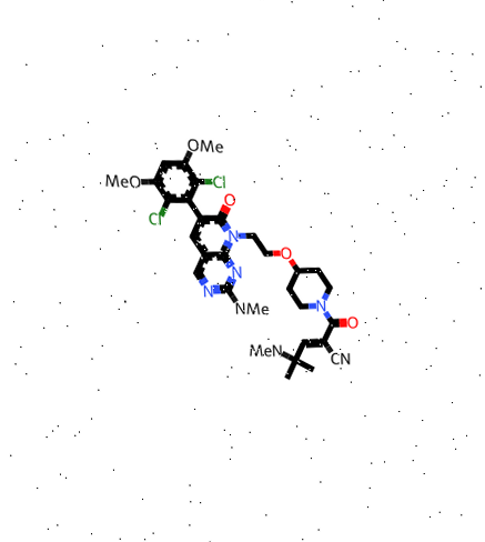 CNc1ncc2cc(-c3c(Cl)c(OC)cc(OC)c3Cl)c(=O)n(CCOC3CCN(C(=O)C(C#N)=CC(C)(C)NC)CC3)c2n1